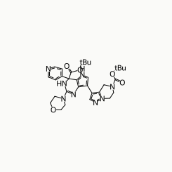 CC(C)(C)OC(=O)N1CCn2ncc(-c3c[nH]c4c3N=C(N3CCOCC3)NC4(C(=O)OC(C)(C)C)c3ccncc3)c2C1